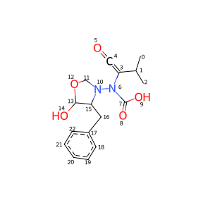 CC(C)C(=C=O)N(C(=O)O)N1COC(O)C1Cc1ccccc1